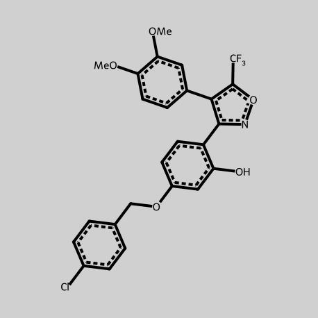 COc1ccc(-c2c(-c3ccc(OCc4ccc(Cl)cc4)cc3O)noc2C(F)(F)F)cc1OC